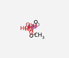 CCc1ccccc1OCC(O)CN[C@H]1CCCc2ccccc21.O=C(O)C(=O)O